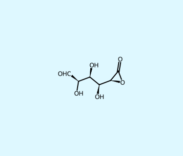 O=C[C@H](O)[C@@H](O)[C@H](O)[C@@H]1OC1=O